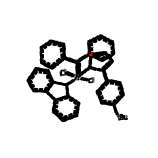 CC(C)(C)c1ccc(C2=CC=C[CH]2[Zr]([Cl])([Cl])(=[C](c2ccccc2)c2ccccc2)[CH]2c3ccccc3-c3ccccc32)cc1